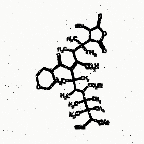 CCOC(=O)C(C(C)C(C)(C)C(C(=O)N1CCOCC1)C(C(=O)O)C(C)C(C)(C)C1C(=O)OC(=O)C1C(C)(C)C)C(C)(C)C(C)(C)C(OC(C)=O)C(C)(C)C